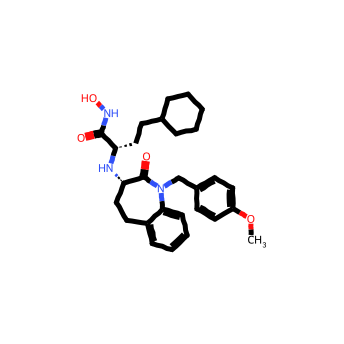 COc1ccc(CN2C(=O)[C@@H](N[C@@H](CCC3CCCCC3)C(=O)NO)CCc3ccccc32)cc1